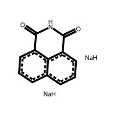 O=C1NC(=O)c2cccc3cccc1c23.[NaH].[NaH]